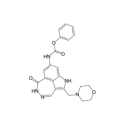 O=C(Nc1cc2c3c(c(CN4CCOCC4)[nH]c3c1)C=NNC2=O)Oc1ccccc1